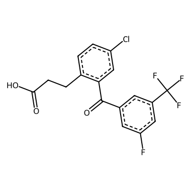 O=C(O)CCc1ccc(Cl)cc1C(=O)c1cc(F)cc(C(F)(F)F)c1